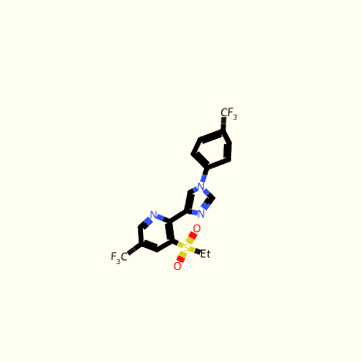 CCS(=O)(=O)c1cc(C(F)(F)F)cnc1-c1cn(-c2ccc(C(F)(F)F)cc2)cn1